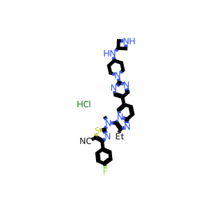 CCc1nc2ccc(-c3cnc(N4CCC(NC5CNC5)CC4)nc3)cn2c1N(C)c1nc(-c2ccc(F)cc2)c(C#N)s1.Cl